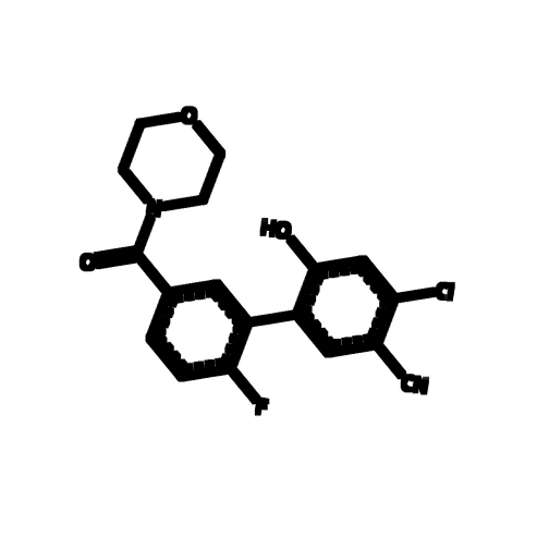 N#Cc1cc(-c2cc(C(=O)N3CCOCC3)ccc2F)c(O)cc1Cl